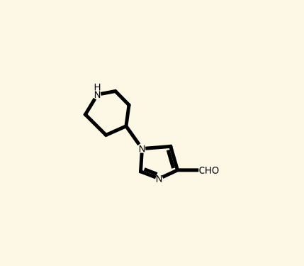 O=Cc1cn(C2CCNCC2)cn1